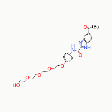 CC(C)(C)C(=O)c1ccc2[nH]c(C(=O)Nc3ccc(OCCOCCOCCOCCO)cc3)nc2c1